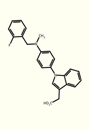 CN(Cc1ccccc1F)c1ccc(-n2cc(CC(=O)O)c3ccccc32)cc1